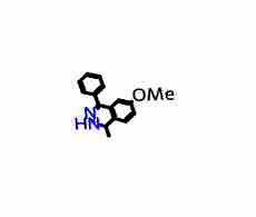 COc1ccc2c(c1)C(c1ccccc1)=NNC2C